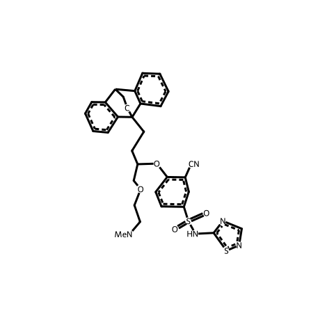 CNCCOCC(CCC12CCC(c3ccccc31)c1ccccc12)Oc1ccc(S(=O)(=O)Nc2ncns2)cc1C#N